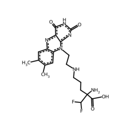 Cc1cc2nc3c(=O)[nH]c(=O)nc-3n(CCNCCCC(N)(C(=O)O)C(F)F)c2cc1C